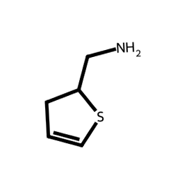 NCC1CC=CS1